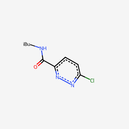 CCC(C)NC(=O)c1ccc(Cl)nn1